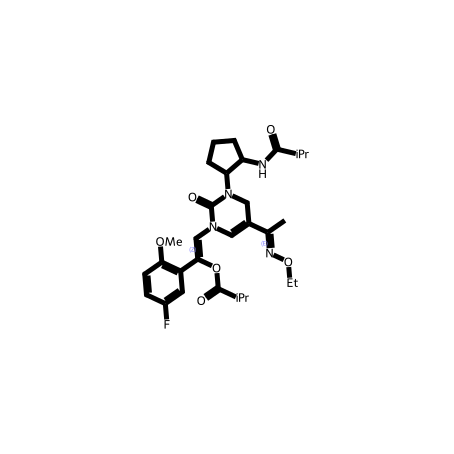 CCO/N=C(\C)C1=CN(/C=C(\OC(=O)C(C)C)c2cc(F)ccc2OC)C(=O)N(C2CCCC2NC(=O)C(C)C)C1